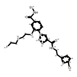 CCNC(=O)c1ccc(-n2cc(C(=O)NCCc3ccc(Cl)s3)nn2)c(OCCOCCF)c1